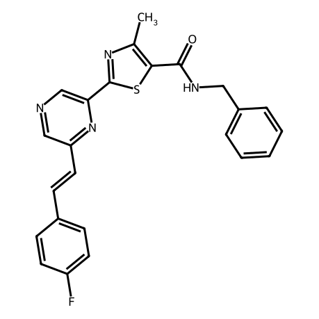 Cc1nc(-c2cncc(/C=C/c3ccc(F)cc3)n2)sc1C(=O)NCc1ccccc1